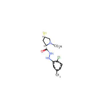 O=C(NNc1cc(C(F)(F)F)ccc1Cl)[C@@H]1C[C@H](S)CN1C(=O)O